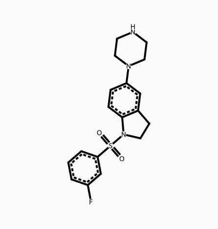 O=S(=O)(c1cccc(F)c1)N1CCc2cc(N3CCNCC3)ccc21